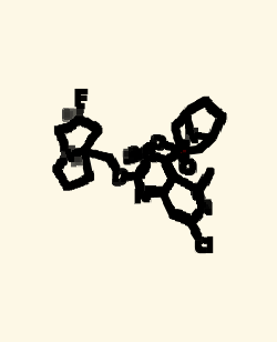 Cc1nc(Cl)cc2nc(OC[C@@]34CCCN3C[C@H](F)C4)nc(N3CC4CCC(C3)N4C(=O)OC(C)(C)C)c12